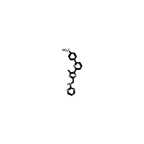 Cc1nc(CNc2ncccn2)sc1-c1cccc(-c2ccc(C(=O)O)cc2)n1